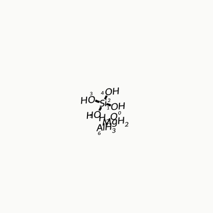 O.O[Si](O)(O)O.[AlH3].[MgH2]